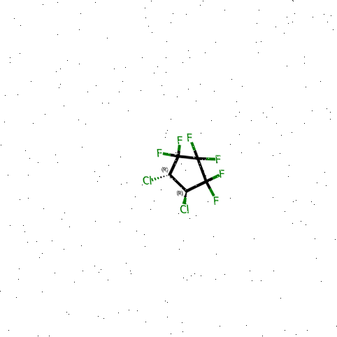 FC1(F)[C@@H](Cl)[C@H](Cl)C(F)(F)C1(F)F